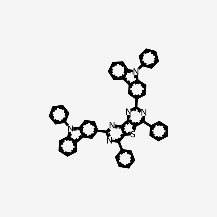 c1ccc(-c2nc(-c3ccc4c(c3)c3ccccc3n4-c3ccccc3)nc3c2sc2c(-c4ccccc4)nc(-c4ccc5c(c4)c4ccccc4n5-c4ccccc4)nc23)cc1